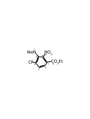 CCOC(=O)c1ccc(Cl)c(NC)c1[N+](=O)[O-]